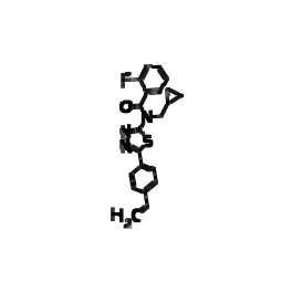 C=Cc1ccc(-c2nnc(N(CC3CC3)C(=O)c3ccccc3F)s2)cc1